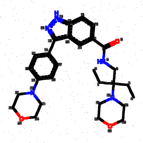 CCC(CC)(CNC(=O)c1ccc2[nH]nc(-c3ccc(N4CCOCC4)cc3)c2c1)N1CCOCC1